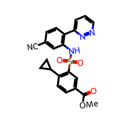 COC(=O)c1ccc(C2CC2)c(S(=O)(=O)Nc2cc(C#N)ccc2-c2cccnn2)c1